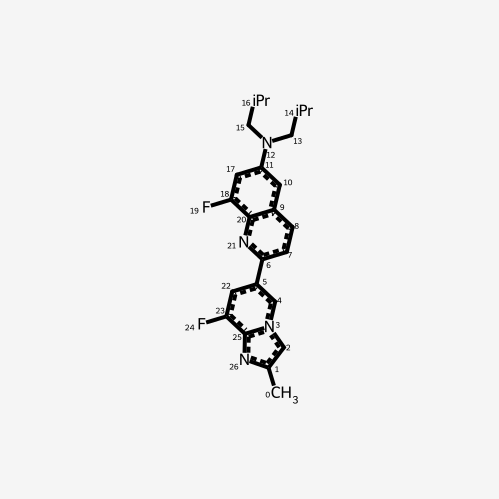 Cc1cn2cc(-c3ccc4cc(N(CC(C)C)CC(C)C)cc(F)c4n3)cc(F)c2n1